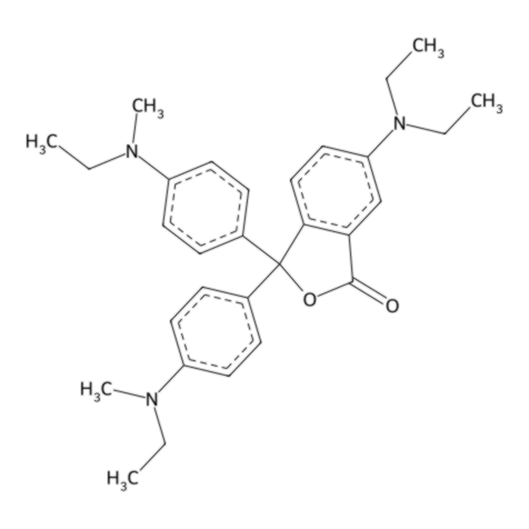 CCN(C)c1ccc(C2(c3ccc(N(C)CC)cc3)OC(=O)c3cc(N(CC)CC)ccc32)cc1